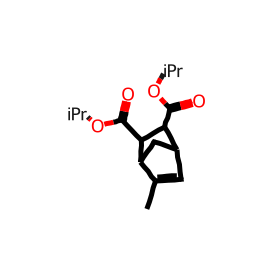 CC1=CC2CC1C(C(=O)OC(C)C)C2C(=O)OC(C)C